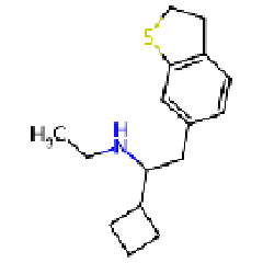 CCNC(Cc1ccc2c(c1)SCC2)C1CCC1